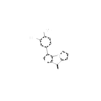 COc1ccc(-c2csc3c2-n2cccc2C3=O)cc1O